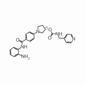 Nc1ccccc1NC(=O)c1ccc(N2CC[C@H](OC(=O)NCc3ccncc3)C2)cc1